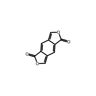 O=C1OC=c2cc3c(cc21)=COC3=O